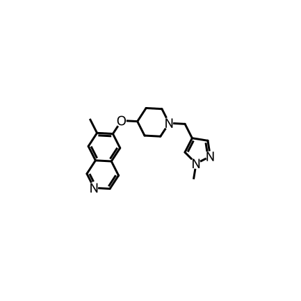 Cc1cc2cnccc2cc1OC1CCN(Cc2cnn(C)c2)CC1